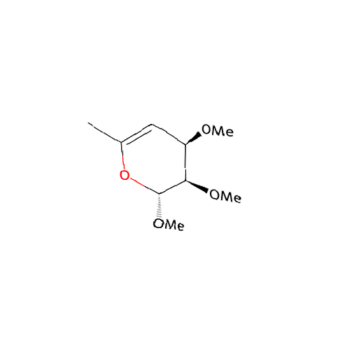 CO[C@@H]1OC(C)=C[C@@H](OC)[C@H]1OC